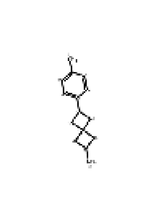 Cc1ccc(C2CC3(CC(N)C3)C2)cc1